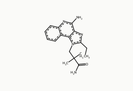 CCc1nc2c(N)nc3ccccc3c2n1CC(C)(C)C(N)=O